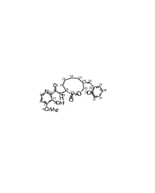 COc1ccnc(C(=O)N[C@H]2CCCC[C@@H](Cc3ccccc3)[C@H](C)OC2=O)c1O